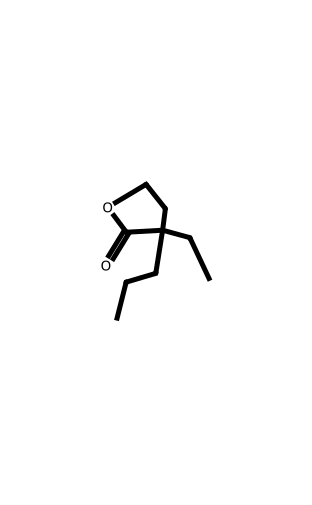 CCCC1(CC)CCOC1=O